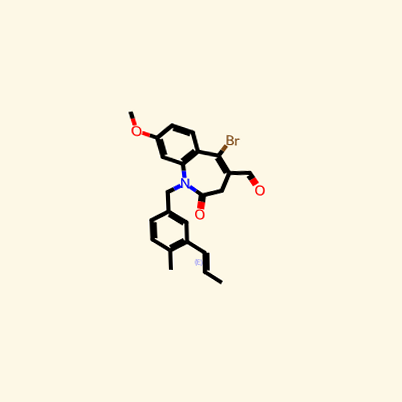 C/C=C/c1cc(CN2C(=O)CC(C=O)=C(Br)c3ccc(OC)cc32)ccc1C